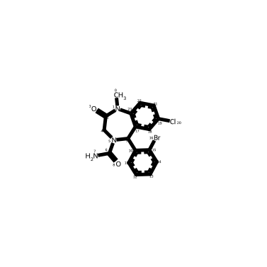 CN1C(=O)CN(C(N)=O)C(c2ccccc2Br)c2cc(Cl)ccc21